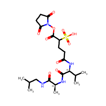 CC(C)CNC(=O)[C@H](C)NC(=O)[C@@H](NC(=O)CCC(C(=O)ON1C(=O)CCC1=O)S(=O)(=O)O)C(C)C